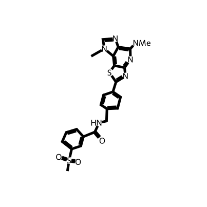 CNc1nc2nc(-c3ccc(CNC(=O)c4cccc(S(C)(=O)=O)c4)cc3)sc2c2c1ncn2C